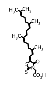 CC(C)=CCCC(C)=CCCC(C)=CCCC(C)=CC=C1SC(=S)N(CC(=O)O)C1=O